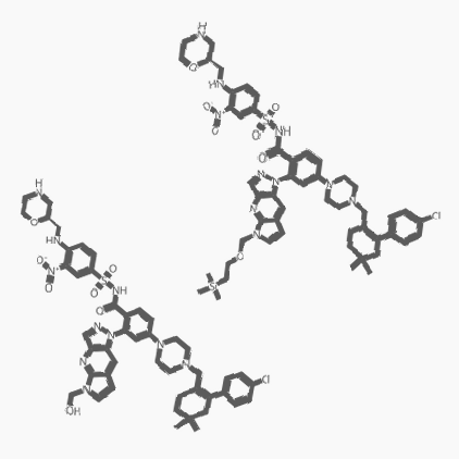 CC1(C)CCC(CN2CCN(c3ccc(C(=O)NS(=O)(=O)c4ccc(NC[C@@H]5CNCCO5)c([N+](=O)[O-])c4)c(-n4ncc5nc6c(ccn6CO)cc54)c3)CC2)=C(c2ccc(Cl)cc2)C1.CC1(C)CCC(CN2CCN(c3ccc(C(=O)NS(=O)(=O)c4ccc(NC[C@@H]5CNCCO5)c([N+](=O)[O-])c4)c(-n4ncc5nc6c(ccn6COCC[Si](C)(C)C)cc54)c3)CC2)=C(c2ccc(Cl)cc2)C1